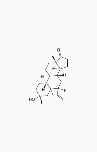 C=CC1(F)C[C@@H]2[C@H](CC[C@]3(C)C(=O)CC[C@@H]23)[C@H]2CC[C@@](C)(O)CC21C